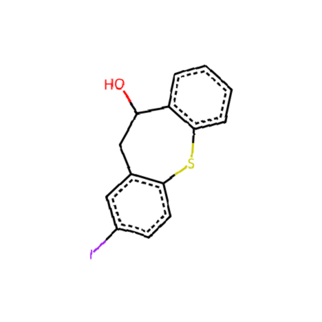 OC1Cc2cc(I)ccc2Sc2ccccc21